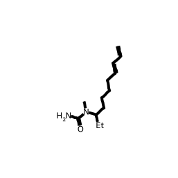 C=CC=CCCCCC(CC)N(C)C(N)=O